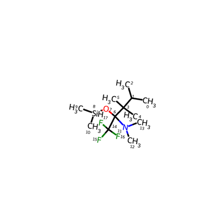 CC(C)C(C)(C)C(O[SiH](C)C)(N(C)C)C(F)(F)F